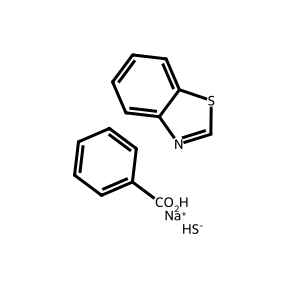 O=C(O)c1ccccc1.[Na+].[SH-].c1ccc2scnc2c1